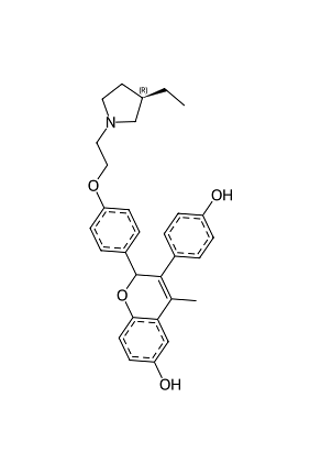 CC[C@@H]1CCN(CCOc2ccc(C3Oc4ccc(O)cc4C(C)=C3c3ccc(O)cc3)cc2)C1